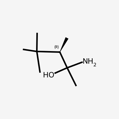 C[C@H](C(C)(C)C)C(C)(N)O